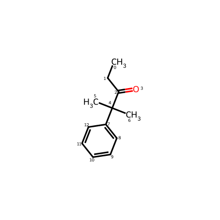 CCC(=O)C(C)(C)c1ccccc1